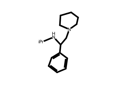 CC(C)NC(CN1CCCCC1)c1ccccc1